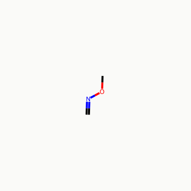 C=NOC